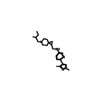 CCC(C)CN1CCC2(CC1)CC2CNc1ccc(-c2cn(C)nc2C)nn1